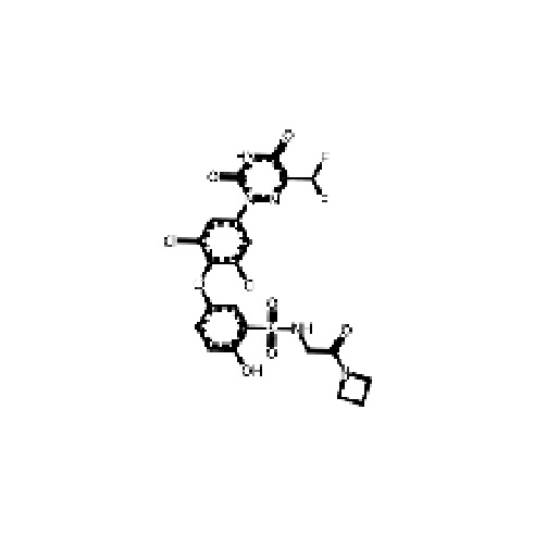 O=C(CNS(=O)(=O)c1cc(Oc2c(Cl)cc(-n3nc(C(F)F)c(=O)[nH]c3=O)cc2Cl)ccc1O)N1CCC1